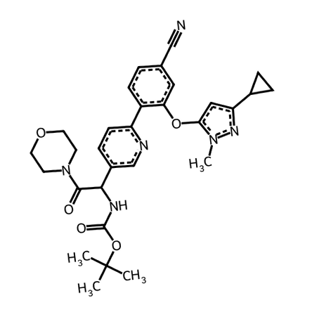 Cn1nc(C2CC2)cc1Oc1cc(C#N)ccc1-c1ccc(C(NC(=O)OC(C)(C)C)C(=O)N2CCOCC2)cn1